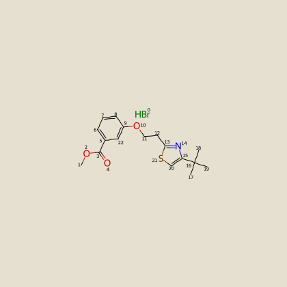 Br.COC(=O)c1cccc(OCCc2nc(C(C)(C)C)cs2)c1